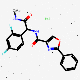 CONC(=O)C(NC(=O)c1coc(-c2ccccc2)n1)c1ccc(F)cc1F.Cl